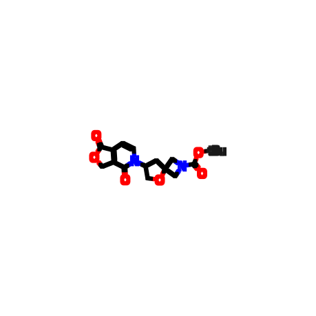 CC(C)(C)OC(=O)N1CC2(CC(n3ccc4c(c3=O)COC4=O)CO2)C1